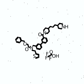 O=C(COCc1ccccc1)N(CCc1cccs1)Cc1cccc(-c2cccc(C(=O)N3CCC(CCCC4CCNCC4)CC3)c2)c1.O=C(O)C(F)(F)F